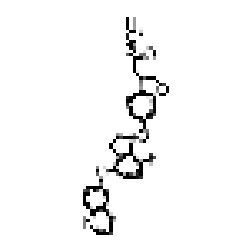 COC(=O)CC1COc2cc(O[C@@H]3CCc4c(Oc5ccc6ncccc6c5)ccc(F)c43)ccc21